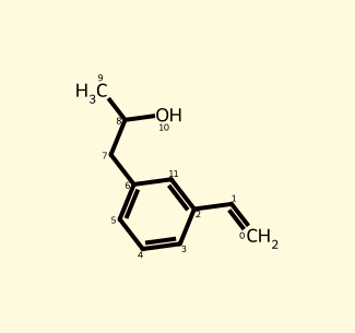 C=Cc1cccc(CC(C)O)c1